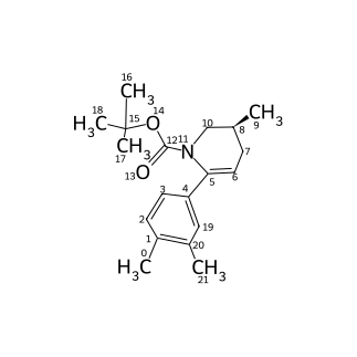 Cc1ccc(C2=CC[C@H](C)CN2C(=O)OC(C)(C)C)cc1C